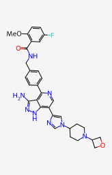 COc1ccc(F)cc1C(=O)NCc1ccc(-c2ncc(-c3cn(C4CCN(C5COC5)CC4)cn3)c3[nH]nc(N)c23)cc1